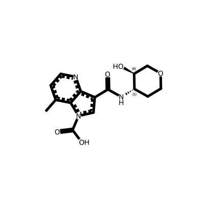 Cc1ccnc2c(C(=O)N[C@H]3CCOC[C@@H]3O)cn(C(=O)O)c12